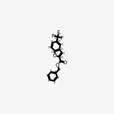 O=C(OCc1ccccc1)c1cc2cc(C(F)(F)F)ccc2o1